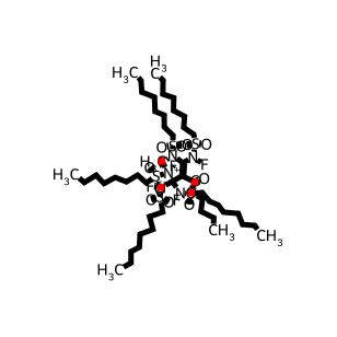 CCCCCCCCS(=O)(=O)N(F)C(=C(C(=O)OCCCC)C(N(F)S(=O)(=O)CCCCCCCC)(N(F)S(=O)(=O)CCCCCCCC)[N+](C)(F)S(=O)(=O)CCCCCCCC)N(F)S(=O)(=O)CCCCCCCC